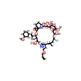 C#CCOCC[C@@H]1/C=C(\C)C[C@H](C)C[C@H](OC)[C@H]2O[C@@](O)(C(=O)C(=O)N3CCCC[C@H]3C(=O)O[C@H](/C(C)=C/[C@@H]3CCC[C@H](OC)C3)[C@H](C)[C@@H](O)CC1=N)[C@H](C)C[C@@H]2OC